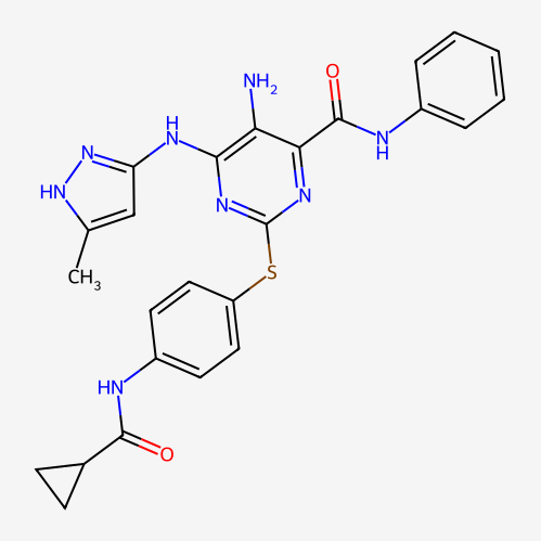 Cc1cc(Nc2nc(Sc3ccc(NC(=O)C4CC4)cc3)nc(C(=O)Nc3ccccc3)c2N)n[nH]1